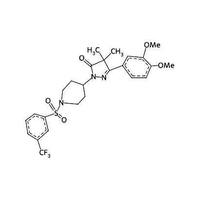 COc1ccc(C2=NN(C3CCN(S(=O)(=O)c4cccc(C(F)(F)F)c4)CC3)C(=O)C2(C)C)cc1OC